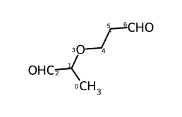 CC(C=O)OC[CH]C=O